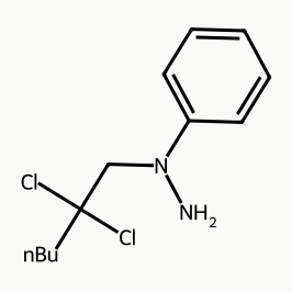 CCCCC(Cl)(Cl)CN(N)c1ccccc1